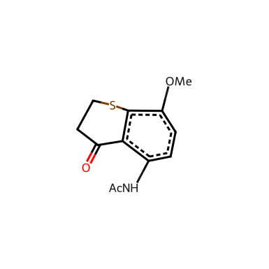 COc1ccc(NC(C)=O)c2c1SCCC2=O